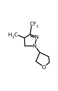 CC1CN(C2CCOC2)N=C1C(F)(F)F